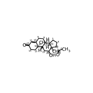 CC(=O)[C@H]1CC[C@H]2[C@@H]3CCC4=CC(=O)CC[C@]4(C)[C@H]3C[C@H](O)[C@]12C